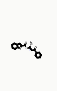 C/C(=C\C(=O)c1ccccc1)OC(=O)c1cc2ccccc2s1